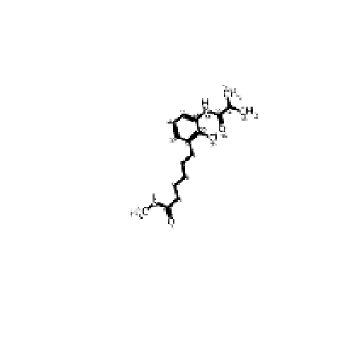 CSC(=O)CCCCCc1cccc(NC(=O)C(C)C)c1Cl